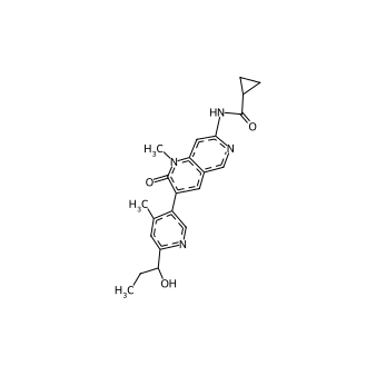 CCC(O)c1cc(C)c(-c2cc3cnc(NC(=O)C4CC4)cc3n(C)c2=O)cn1